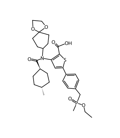 CCOP(C)(=O)Cc1ccc(-c2cc(N(C(=O)[C@H]3CC[C@H](C)CC3)C3CCC4(CC3)OCCO4)c(C(=O)O)s2)cc1